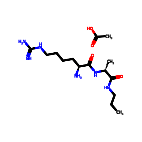 CC(=O)O.CCCNC(=O)[C@@H](C)NC(=O)[C@@H](N)CCCCNC(=N)N